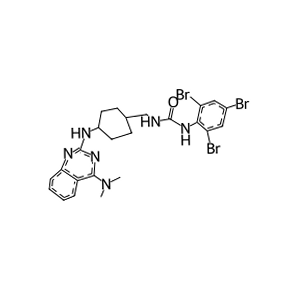 CN(C)c1nc(NC2CCC(CNC(=O)Nc3c(Br)cc(Br)cc3Br)CC2)nc2ccccc12